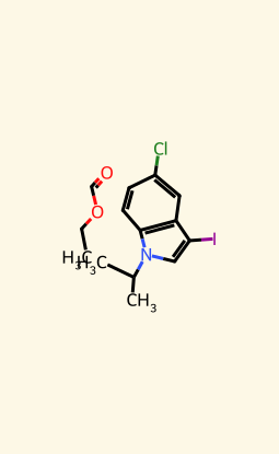 CC(C)n1cc(I)c2cc(Cl)ccc21.CCOC=O